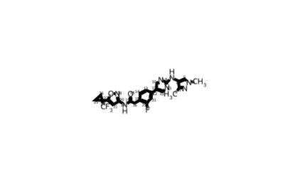 Cc1nn(C)cc1Nc1ncc(-c2ccc(CC(=O)Nc3cc(C4(C(F)(F)F)CC4)on3)c(F)c2)cn1